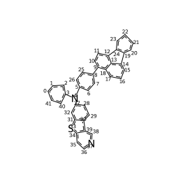 c1ccc(N(c2ccc(-c3ccc4c5c(cccc35)-c3ccccc3-4)cc2)c2ccc3c(c2)sc2ccncc23)cc1